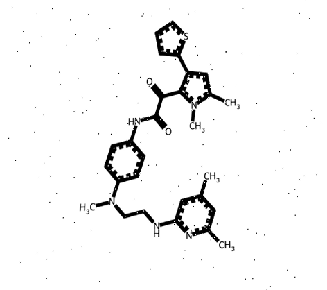 Cc1cc(C)nc(NCCN(C)c2ccc(NC(=O)C(=O)c3c(-c4cccs4)cc(C)n3C)cc2)c1